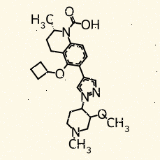 COC1CN(C)CCC1n1cc(-c2ccc3c(c2OC2CCC2)CC[C@H](C)N3C(=O)O)cn1